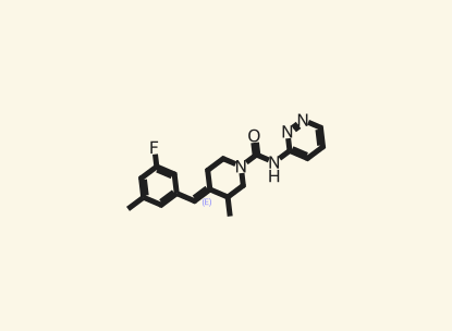 Cc1cc(F)cc(/C=C2\CCN(C(=O)Nc3cccnn3)CC2C)c1